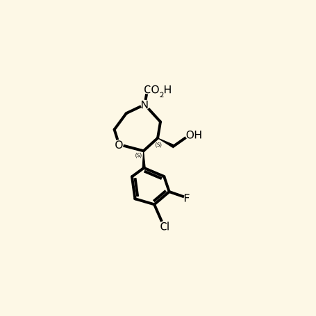 O=C(O)N1CCO[C@H](c2ccc(Cl)c(F)c2)[C@H](CO)C1